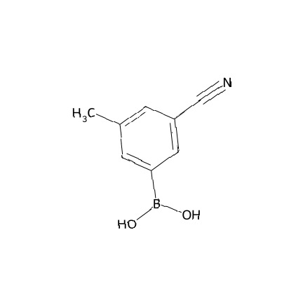 Cc1cc(C#N)cc(B(O)O)c1